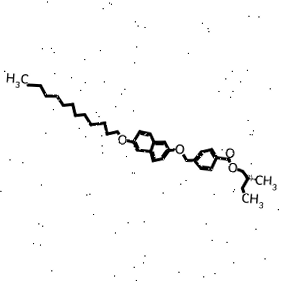 CCCCCCCCCCCCCOc1ccc2cc(OCc3ccc(C(=O)OC[C@H](C)CC)cc3)ccc2c1